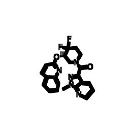 Cn1nc(C(=O)N2CCC(F)(F)[C@@H](Oc3ccc4ccccc4n3)C2)c2cccnc21